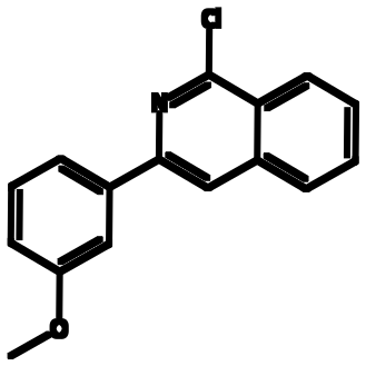 COc1cccc(-c2cc3ccccc3c(Cl)n2)c1